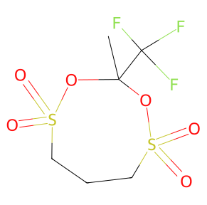 CC1(C(F)(F)F)OS(=O)(=O)CCCS(=O)(=O)O1